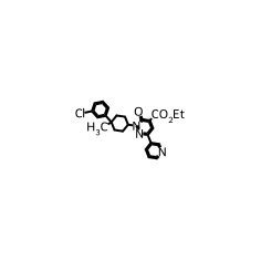 CCOC(=O)c1cc(-c2cccnc2)nn(C2CCC(C)(c3cccc(Cl)c3)CC2)c1=O